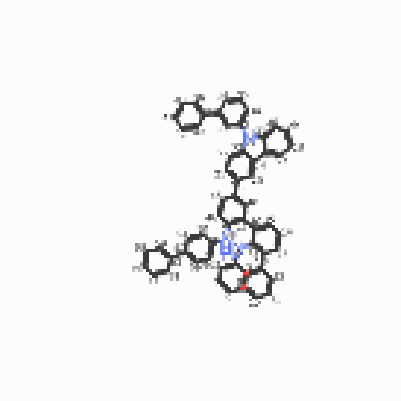 c1ccc(Nc2c(-c3ccccc3)cccc2-c2cc(-c3ccc4c(c3)c3ccccc3n4-c3cccc(-c4ccccc4)c3)ccc2Nc2ccc(-c3ccccc3)cc2)cc1